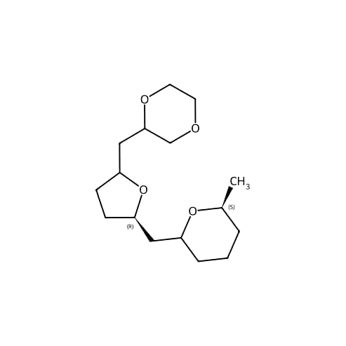 C[C@H]1CCCC(C[C@H]2CCC(CC3COCCO3)O2)O1